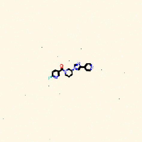 O=C(c1ccc(F)nc1)N1CCCC(n2cnc(-c3ccncc3)c2)C1